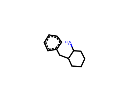 NC1CCCCC1Cc1ccccc1